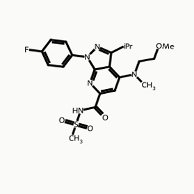 COCCN(C)c1cc(C(=O)NS(C)(=O)=O)nc2c1c(C(C)C)nn2-c1ccc(F)cc1